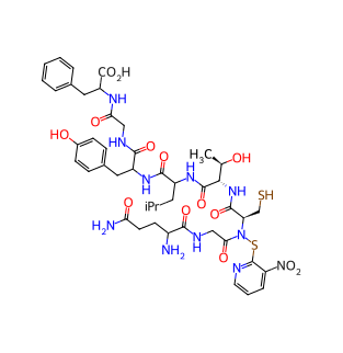 CC(C)CC(NC(=O)[C@@H](NC(=O)[C@@H](CS)N(Sc1ncccc1[N+](=O)[O-])C(=O)CNC(=O)C(N)CCC(N)=O)[C@@H](C)O)C(=O)NC(Cc1ccc(O)cc1)C(=O)NCC(=O)NC(Cc1ccccc1)C(=O)O